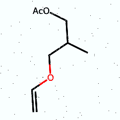 C=COCC(C)COC(C)=O